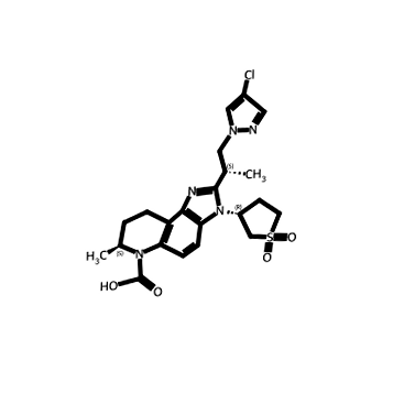 C[C@@H](Cn1cc(Cl)cn1)c1nc2c3c(ccc2n1[C@@H]1CCS(=O)(=O)C1)N(C(=O)O)[C@@H](C)CC3